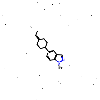 CC=C1CCC(c2ccc3c(cnn3C(C)C)c2)CC1